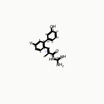 C/C(=C\c1ccc(F)cc1-c1cccc(O)c1)C(=O)NC(=N)N